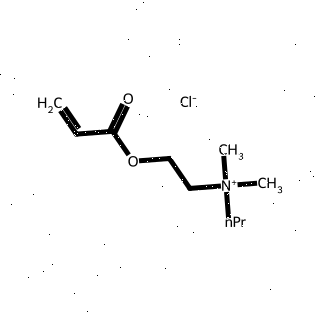 C=CC(=O)OCC[N+](C)(C)CCC.[Cl-]